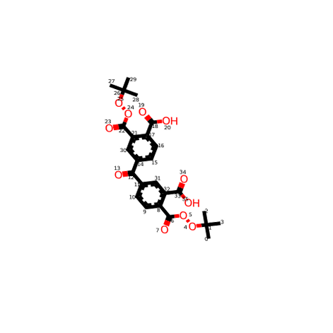 CC(C)(C)OOC(=O)c1ccc(C(=O)c2ccc(C(=O)O)c(C(=O)OOC(C)(C)C)c2)cc1C(=O)O